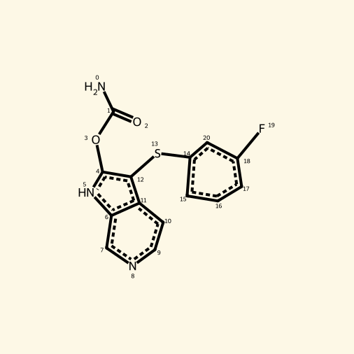 NC(=O)Oc1[nH]c2cnccc2c1Sc1cccc(F)c1